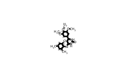 COc1cc(-c2cc(=Nc3c(C)cc(C)cc3C)[nH]c(=O)[nH]2)cc(OC)c1OC